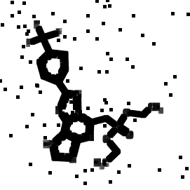 CCOP(=O)(Cc1nc2nc[nH]c2c2nc(-c3ccc(C(F)(F)F)cc3)nn12)OCC